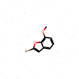 COc1cccc2cc(Br)oc12